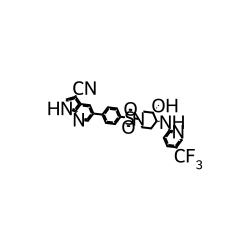 N#Cc1c[nH]c2ncc(-c3ccc(S(=O)(=O)N4CC[C@@H](Nc5ccc(C(F)(F)F)cn5)[C@@H](O)C4)cc3)cc12